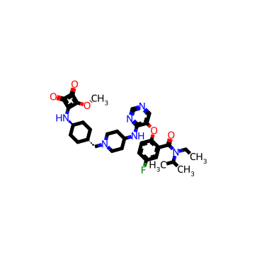 CCN(C(=O)c1cc(F)ccc1Oc1cncnc1NC1CCN(C[C@H]2CC[C@H](Nc3c(OC)c(=O)c3=O)CC2)CC1)C(C)C